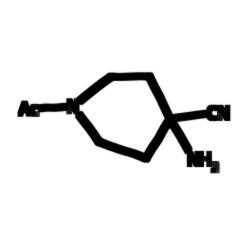 CC(=O)N1CCC(N)(C#N)CC1